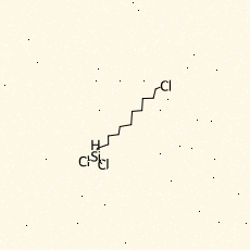 ClCCCCCCCCCCC[SiH](Cl)Cl